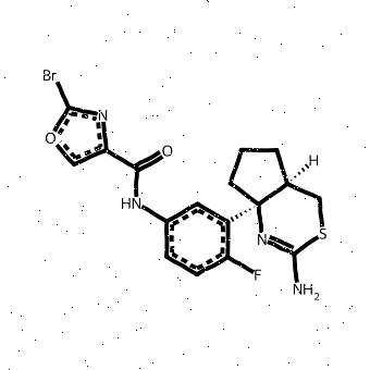 NC1=N[C@@]2(c3cc(NC(=O)c4coc(Br)n4)ccc3F)CCC[C@H]2CS1